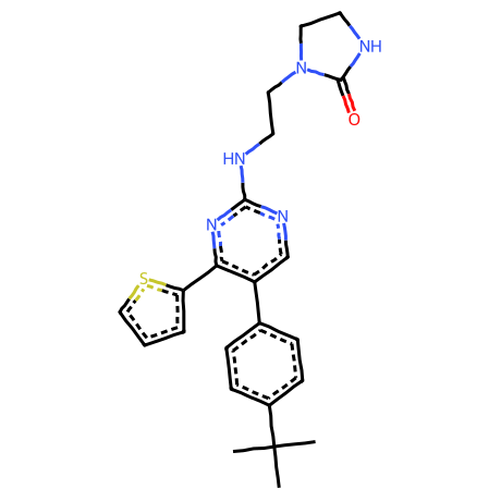 CC(C)(C)c1ccc(-c2cnc(NCCN3CCNC3=O)nc2-c2cccs2)cc1